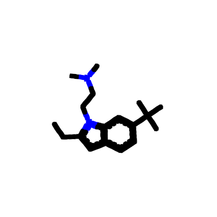 CCc1cc2ccc(C(C)(C)C)cc2n1CCN(C)C